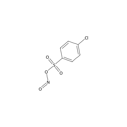 O=NOS(=O)(=O)c1ccc(Cl)cc1